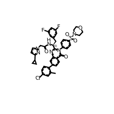 Cc1cc(Cl)ccc1-c1ccc2c(=O)n(-c3ccc(S(=O)(=O)N4CCOCC4)cc3)c([C@H](Cc3cc(F)cc(F)c3)NC(=O)Cn3ccc(C4CC4)n3)nc2c1